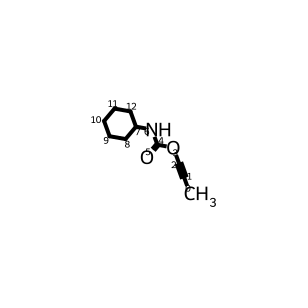 CC#COC(=O)NC1CCCCC1